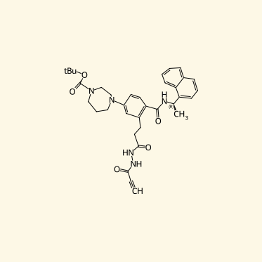 C#CC(=O)NNC(=O)CCc1cc(N2CCCN(C(=O)OC(C)(C)C)CC2)ccc1C(=O)N[C@H](C)c1cccc2ccccc12